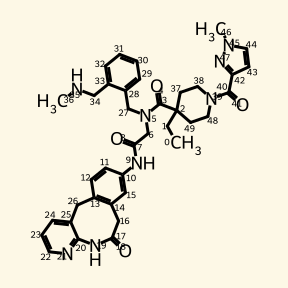 CCC1(C(=O)N(CC(=O)Nc2ccc3c(c2)CC(=O)Nc2ncccc2C3)Cc2ccccc2CNC)CCN(C(=O)c2ccn(C)n2)CC1